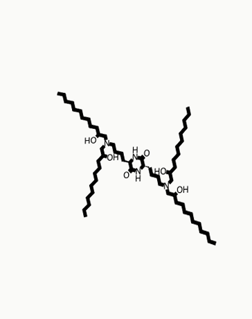 CCCCCCCCCCC(O)CN(CCCC[C@@H]1NC(=O)[C@@H](CCCCN(CC(O)CCCCCCCCCC)CC(O)CCCCCCCCCC)NC1=O)CC(O)CCCCCCCCCC